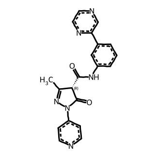 CC1=NN(c2ccncc2)C(=O)[C@H]1C(=O)Nc1cccc(-c2cnccn2)c1